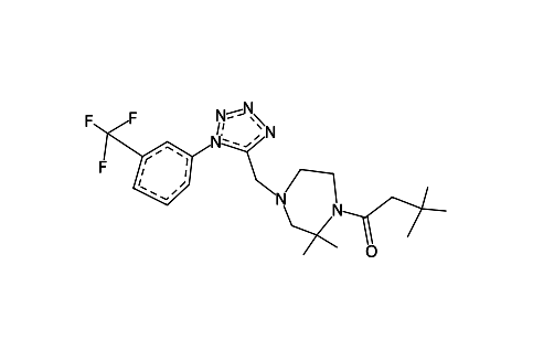 CC(C)(C)CC(=O)N1CCN(Cc2nnnn2-c2cccc(C(F)(F)F)c2)CC1(C)C